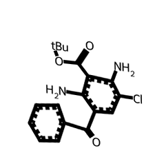 CC(C)(C)OC(=O)c1c(N)c(Cl)cc(C(=O)c2ccccc2)c1N